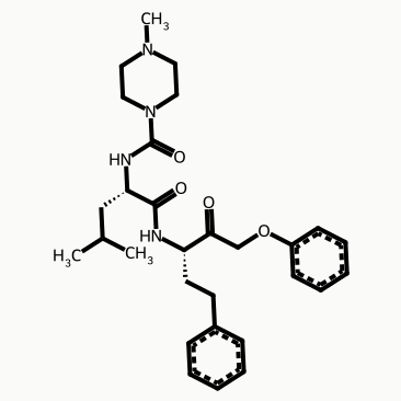 CC(C)C[C@H](NC(=O)N1CCN(C)CC1)C(=O)N[C@@H](CCc1ccccc1)C(=O)COc1ccccc1